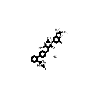 CCCc1nc(C)n(-c2cc(F)c3c(c2)CC(C)(C)O3)c(=O)c1Cc1ccc(-c2ccccc2-c2noc(=O)[nH]2)cc1.Cl